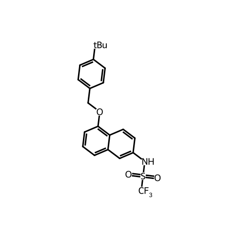 CC(C)(C)c1ccc(COc2cccc3cc(NS(=O)(=O)C(F)(F)F)ccc23)cc1